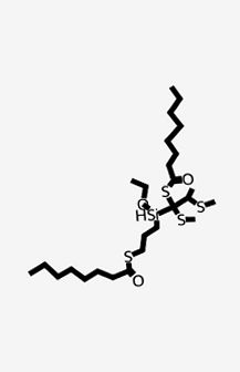 CCCCCCCC(=O)SCCC[SiH](OCC)C(SC)(SC(=O)CCCCCCC)C(C)SC